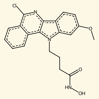 COc1ccc2c3nc(Cl)c4ccccc4c3n(CCCC(=O)NO)c2c1